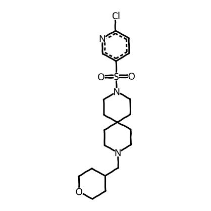 O=S(=O)(c1ccc(Cl)nc1)N1CCC2(CCN(CC3CCOCC3)CC2)CC1